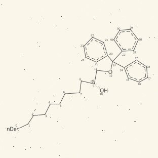 CCCCCCCCCCCCCCCCCC[C@@H](O)COC(c1ccccc1)(c1ccccc1)c1ccccc1